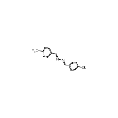 CCc1ccc(/C=N/N=C/c2ccc(C(F)(F)F)cc2)cc1